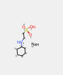 O=S(=O)(O)CCNC1CCCCC1.[NaH]